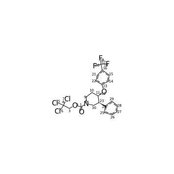 O=C(OCC(Cl)(Cl)Cl)N1CC[C@@H](Oc2ccc(C(F)(F)F)cc2)[C@@H](c2ccccc2)C1